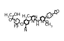 COc1nc(Nc2ncc(C)c(-c3ccc(O[C@@H]4CCN(C(=O)[C@H](C)O)CC4(F)F)c(C#N)c3)n2)ccc1N1CCN(C2COC2)CC1